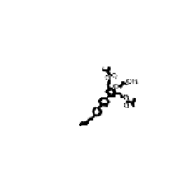 C=C(C)C(=O)OCCc1cc(C2CCC(C3CCC(CCCCC)CC3)CC2)cc(CCOC(=O)C(=C)C)c1OCCCO